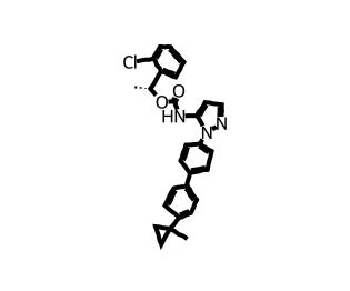 C[C@@H](OC(=O)Nc1ccnn1-c1ccc(-c2ccc(C3(C)CC3)cc2)cc1)c1ccccc1Cl